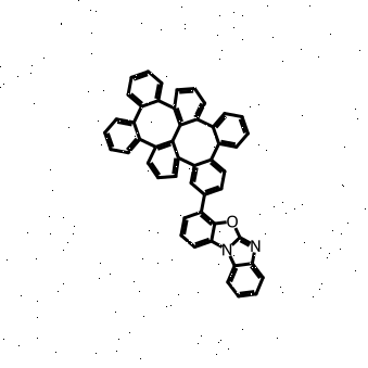 c1ccc2c(c1)nc1oc3c(-c4ccc5c(c4)c4cccc6c4-c4c(cccc4c4ccccc45)c4ccccc4c4ccccc64)cccc3n12